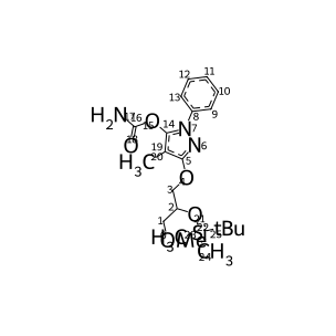 COCC(COc1nn(-c2ccccc2)c(OC(N)=O)c1C)O[Si](C)(C)C(C)(C)C